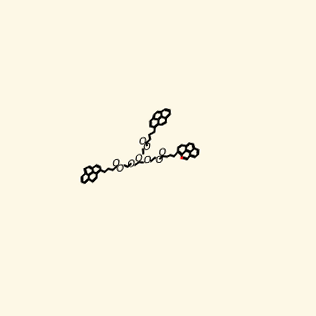 O=C(CCCc1ccc2ccc3cccc4ccc1c2c34)OCCOCC(COCCOC(=O)CCCc1ccc2ccc3cccc4ccc1c2c34)OCCOC(=O)CCCc1ccc2ccc3cccc4ccc1c2c34